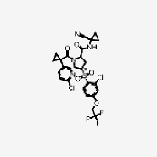 N#CC1(NC(=O)C2C[C@@H](S(=O)(=O)c3ccc(OCC(F)(F)F)cc3Cl)CN2C(=O)C2(c3ccc(Cl)nc3)CC2)CC1